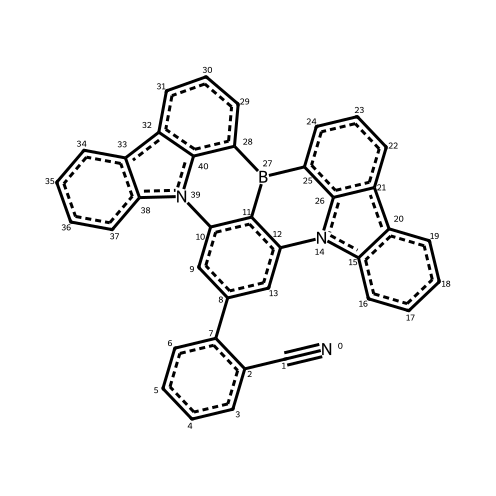 N#Cc1ccccc1-c1cc2c3c(c1)-n1c4ccccc4c4cccc(c41)B3c1cccc3c4ccccc4n-2c13